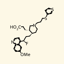 COc1ccc2nccc([C@H](F)CC[C@@H]3CCN(CCCSc4ccsc4)C[C@H]3CCC(=O)O)c2c1